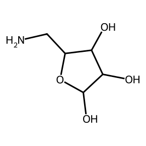 NCC1OC(O)C(O)C1O